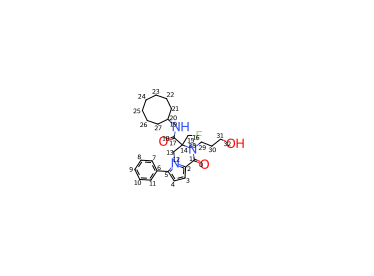 O=C1c2ccc(-c3ccccc3)n2CC(CF)(C(=O)NC2CCCCCCC2)N1CCCO